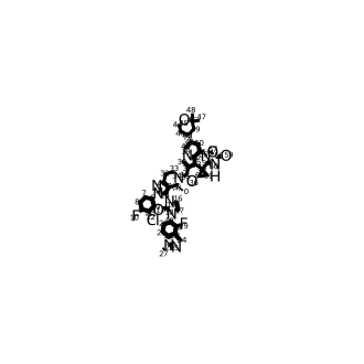 C[C@H]1c2c(nn(-c3ccc(F)c(Cl)c3)c2-n2ccn(-c3ccc4c(cnn4C)c3F)c2=O)CCN1C(=O)c1cn2cc([C@@H]3CCOC(C)(C)C3)ccc2c1C1(c2noc(=O)[nH]2)CC1